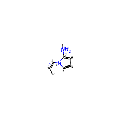 C/C=C\n1cccc1N